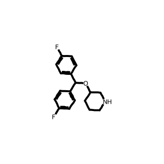 Fc1ccc(C(OC2CCCNC2)c2ccc(F)cc2)cc1